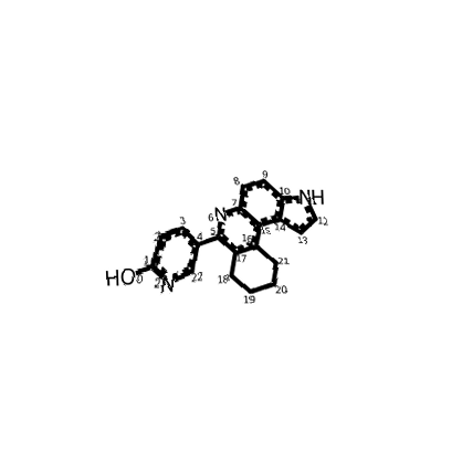 Oc1ccc(-c2nc3ccc4[nH]ccc4c3c3c2CCCC3)cn1